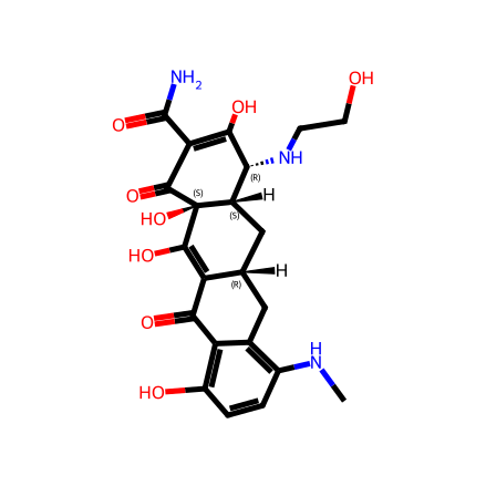 CNc1ccc(O)c2c1C[C@H]1C[C@H]3[C@@H](NCCO)C(O)=C(C(N)=O)C(=O)[C@@]3(O)C(O)=C1C2=O